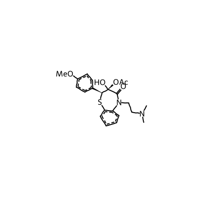 COc1ccc([C@@H]2Sc3ccccc3N(CCN(C)C)C(=O)[C@]2(O)OC(C)=O)cc1